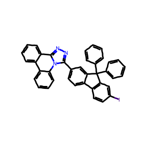 Ic1ccc2c(c1)C(c1ccccc1)(c1ccccc1)c1cc(-c3nnc4c5ccccc5c5ccccc5n34)ccc1-2